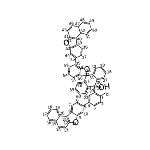 Cc1ccc(-c2ccc3c(c2)oc2ccc4ccccc4c23)cc1C1(O)c2ccccc2C2(Oc3c(-c4ccc5c6c(oc5c4)C=CC4C=CC=CC64)cccc32)c2ccccc21